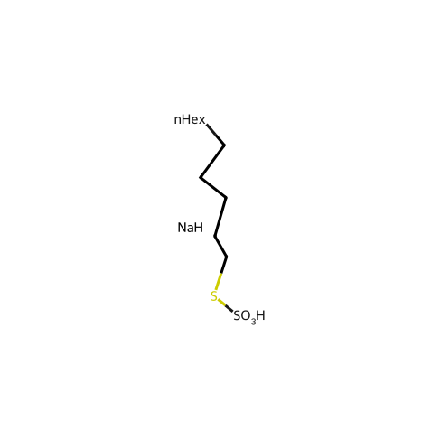 CCCCCCCCCCCSS(=O)(=O)O.[NaH]